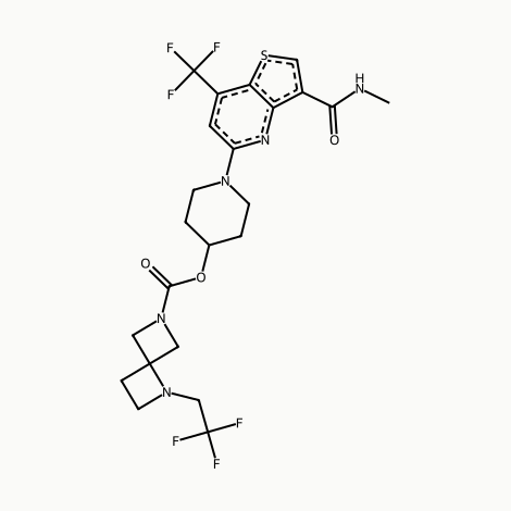 CNC(=O)c1csc2c(C(F)(F)F)cc(N3CCC(OC(=O)N4CC5(CCN5CC(F)(F)F)C4)CC3)nc12